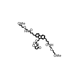 COCCCOCCNC(=O)CCCc1ccc2c(c1)C(COC(=O)ON1C(=O)CCC1=O)c1cc(CCCC(=O)NCCOCCCOC)ccc1-2